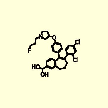 OC(O)c1ccc2c(c1)CCCC(c1ccc(Cl)cc1Cl)=C2c1ccc(O[C@H]2CCN(CCCF)C2)cc1